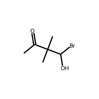 CC(=O)C(C)(C)C(O)Br